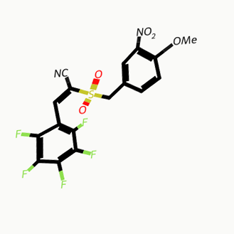 COc1ccc(CS(=O)(=O)/C(C#N)=C\c2c(F)c(F)c(F)c(F)c2F)cc1[N+](=O)[O-]